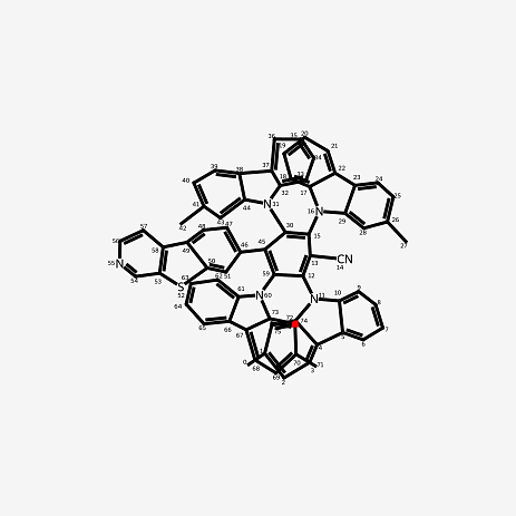 Cc1ccc2c3ccccc3n(-c3c(C#N)c(-n4c5ccccc5c5ccc(C)cc54)c(-n4c5ccccc5c5ccc(C)cc54)c(-c4ccc5c(c4)sc4cnccc45)c3-n3c4ccccc4c4ccc(C)cc43)c2c1